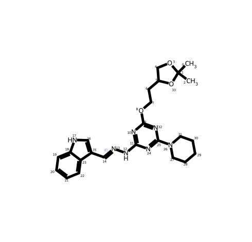 CC1(C)OCC(CCOc2nc(N/N=C/c3c[nH]c4ccccc34)nc(N3CCCCC3)n2)O1